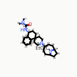 CCOC(=O)N1C2CCC(N3CCC4(CC[C@H](NC(=O)N(C)C)c5ccccc54)CC3)CCC1CC2